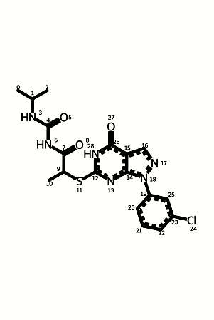 CC(C)NC(=O)NC(=O)C(C)Sc1nc2c(cnn2-c2cccc(Cl)c2)c(=O)[nH]1